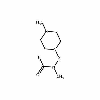 CN1CCN(SN(C)C(=O)F)CC1